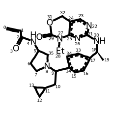 C=CC(=O)NC1CCN(C(CC2CC2)c2ccc([C@H](C)Nc3ncc4c(n3)N(CC)C(=O)OC4)cc2)C1